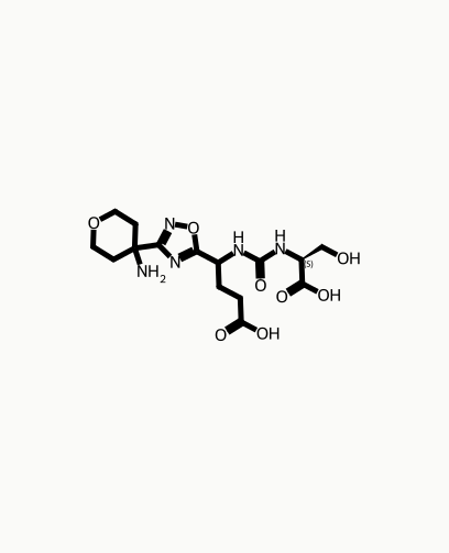 NC1(c2noc(C(CCC(=O)O)NC(=O)N[C@@H](CO)C(=O)O)n2)CCOCC1